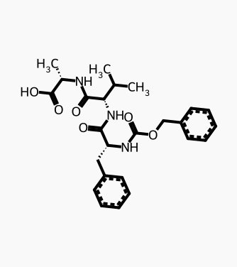 CC(C)[C@H](NC(=O)[C@@H](Cc1ccccc1)NC(=O)OCc1ccccc1)C(=O)N[C@@H](C)C(=O)O